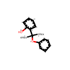 CCCCCCC(CCCCCC)(Oc1ccccc1)c1ccccc1O